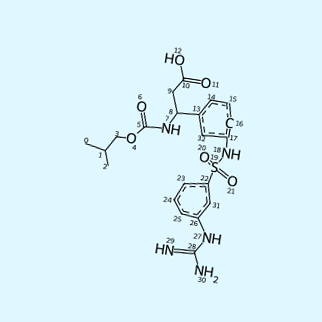 CC(C)COC(=O)NC(CC(=O)O)c1cccc(NS(=O)(=O)c2cccc(NC(=N)N)c2)c1